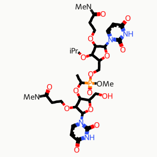 CNC(=O)CCOC1C(OC(C)C)C(COP(=O)(OC)C(C)OC2C(CO)OC(n3ccc(=O)[nH]c3=O)C2OCCC(=O)NC)OC1n1ccc(=O)[nH]c1=O